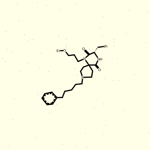 CCOCCCN1C(=O)[C@H](CC(C)C)NC(=O)C12CCN(CCCCCc1ccccc1)CC2